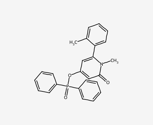 Cc1ccccc1-c1cc(OP(=O)(c2ccccc2)c2ccccc2)cc(=O)n1C